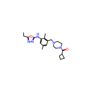 CCc1nnc(Nc2cc(C)cc(CN3CCN(C(=O)C4CCC4)CC3)c2C)o1